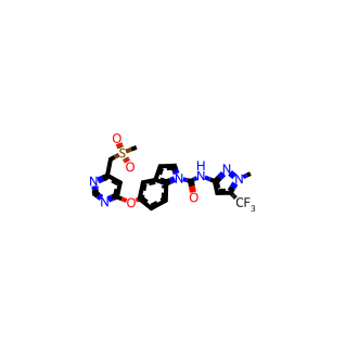 Cn1nc(NC(=O)n2ccc3cc(Oc4cc(CS(C)(=O)=O)ncn4)ccc32)cc1C(F)(F)F